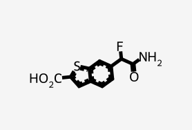 NC(=O)C(F)c1ccc2cc(C(=O)O)sc2c1